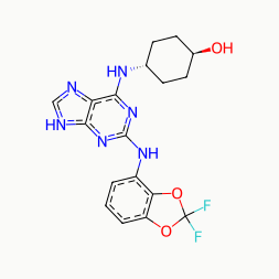 O[C@H]1CC[C@H](Nc2nc(Nc3cccc4c3OC(F)(F)O4)nc3[nH]cnc23)CC1